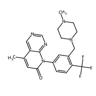 Cc1cc(=O)n(-c2ccc(C(F)(F)F)c(CN3CCN(C)CC3)c2)c2ncncc12